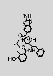 CNc1nc2ccc(S(=O)(=O)N(CC(C)C)CC(O)C(Cc3ccccc3)NC(=O)c3cccc(O)c3C)cc2s1